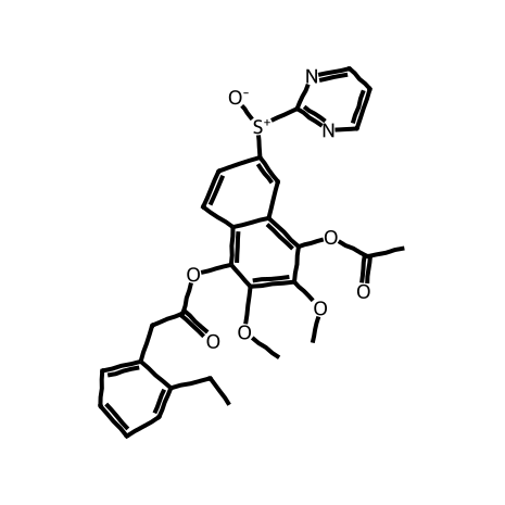 CCc1ccccc1CC(=O)Oc1c(OC)c(OC)c(OC(C)=O)c2cc([S+]([O-])c3ncccn3)ccc12